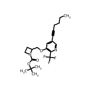 CCCCC#Cc1cnc(C(F)(F)F)c(OCC2CCN2C(=O)OC(C)(C)C)c1